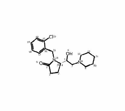 O=C1CC[C@@H](C(O)CN2CCCCC2)N1Cc1ccccc1Cl